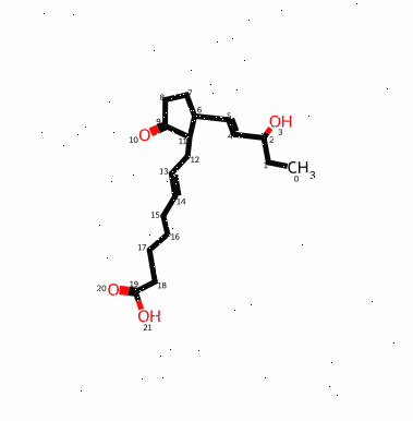 CCC(O)/C=C/C1CCC(=O)C1C/C=C/CCCCC(=O)O